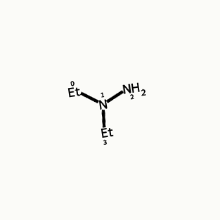 [CH2]CN(N)C[CH2]